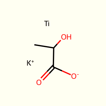 CC(O)C(=O)[O-].[K+].[Ti]